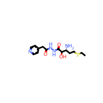 CCSCC[C@@H](N)C(O)C(=O)NNC(=O)Cc1ccncc1